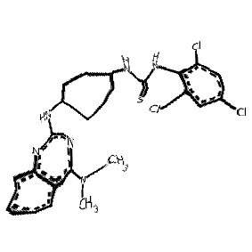 CN(C)c1nc(NC2CCC(NC(=S)Nc3c(Cl)cc(Cl)cc3Cl)CC2)nc2ccccc12